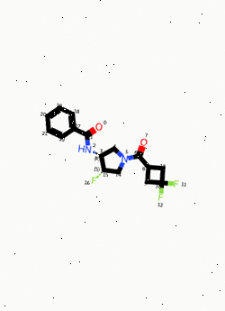 O=C(N[C@@H]1CN(C(=O)C2CC(F)(F)C2)C[C@@H]1F)c1ccccc1